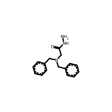 NNC(=O)CN(Cc1ccccc1)Cc1ccccc1